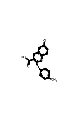 Cc1ccc(Oc2nc3ccc(Cl)cc3cc2C(=O)O)cc1